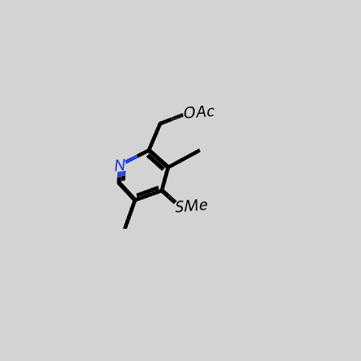 CSc1c(C)cnc(COC(C)=O)c1C